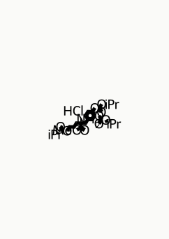 COC(=O)[C@](N)(CCCOC(=O)C(C)C)Cc1ccc(OC(=O)OC(C)C)c(OC(=O)OC(C)C)c1.Cl